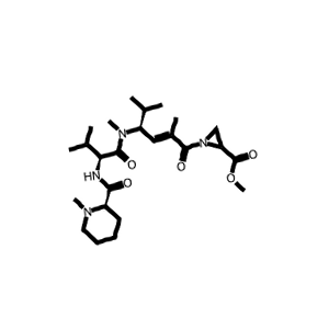 COC(=O)C1CN1C(=O)/C(C)=C/[C@H](C(C)C)N(C)C(=O)[C@@H](NC(=O)[C@H]1CCCCN1C)C(C)C